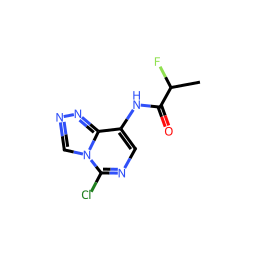 CC(F)C(=O)Nc1cnc(Cl)n2cnnc12